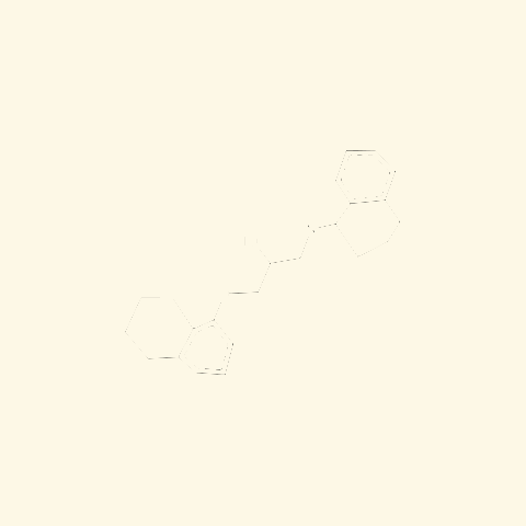 OC(CNC1CCCc2ccccc21)COc1cccc2c1CCCC2